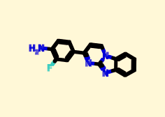 Nc1ccc(-c2ccn3c(n2)nc2ccccc23)cc1F